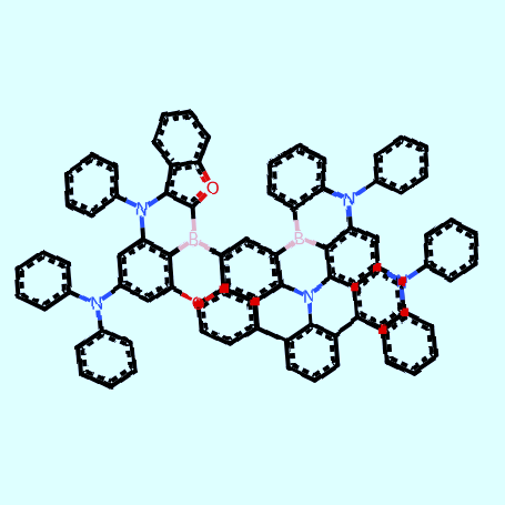 c1ccc(-c2cccc(-c3ccccc3)c2N2c3cc4c(cc3B3c5ccccc5N(c5ccccc5)c5cc(N(c6ccccc6)c6ccccc6)cc2c53)B2c3oc5ccccc5c3N(c3ccccc3)c3cc(N(c5ccccc5)c5ccccc5)cc(c32)O4)cc1